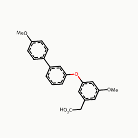 COc1ccc(-c2cccc(Oc3cc(CC(=O)O)cc(OC)c3)c2)cc1